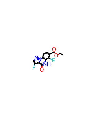 CCOC(=O)c1ccc2c([nH]c(=O)c3c(F)cnn32)c1F